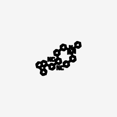 N#Cc1ccc(-c2cccc(-c3nc(-c4ccccc4)nc(-c4cccc(-c5cccc(-c6cccc(-c7cccc(-c8ccc9cccc%10c9c8-c8ccccc8-%10)c7)c6C#N)c5)c4)n3)c2)cc1